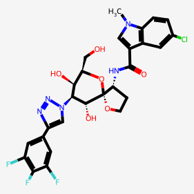 Cn1cc(C(=O)N[C@@H]2CCO[C@]23O[C@H](CO)[C@H](O)[C@H](n2cc(-c4cc(F)c(F)c(F)c4)nn2)[C@H]3O)c2cc(Cl)ccc21